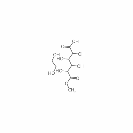 COC(=O)C(O)C(O)C(O)C(O)C(=O)O.OCCO